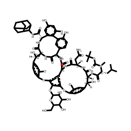 CC(C)C[C@H](C(=O)N[C@H]1C(=O)N[C@@H](CC(N)=O)C(=O)N[C@H]2C(=O)N[C@H]3C(=O)N[C@@H](C(=O)N[C@H](C(=O)NC4C5CC6CC(C5)CC4C6)c4cc(O)cc(O)c4-c4cc3ccc4O)[C@H](O)c3ccc(c(Cl)c3)Oc3cc2cc(c3OC2OC(CO)C(O)C(O)C2O)Oc2ccc(cc2Cl)[C@H]1O)N(C)C(=O)OC(C)(C)C